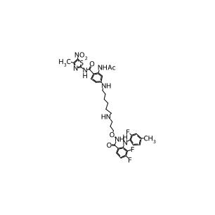 CC(=O)Nc1cc(NCCCCCCNCCCONC(=O)c2ccc(F)c(F)c2Nc2ccc(C)cc2F)ccc1C(=O)Nc1nc(C)c([N+](=O)[O-])s1